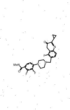 CNC(=O)c1ccc(N2CCN(Cc3ccc4c(c3F)CC(=O)C(C3CC3)=N4)CC2)c(F)c1F